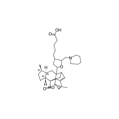 CC(C)C1=CC2CC3(C=O)[C@@H]4CC[C@@H](C)[C@H]4CC2(C2CC(CCCCC(=O)O)C(CN4CCCCC4)O2)C13C(=O)O